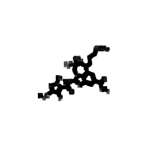 CCn1nc(C)c(F)c1C(=O)Nc1nc2cc(C(N)=O)cc3c2n1C[C@](C)(C(F)(F)F)CN3CCCOC